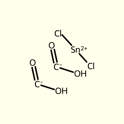 O=[C-]O.O=[C-]O.[Cl][Sn+2][Cl]